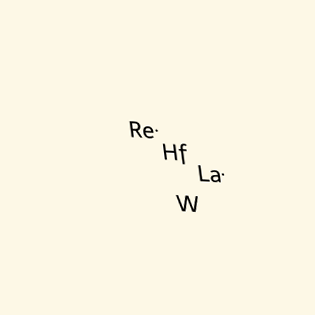 [Hf].[La].[Re].[W]